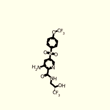 Nc1cc(S(=O)(=O)c2ccc(OC(F)(F)F)cc2)cnc1C(=O)NC[C@H](O)C(F)(F)F